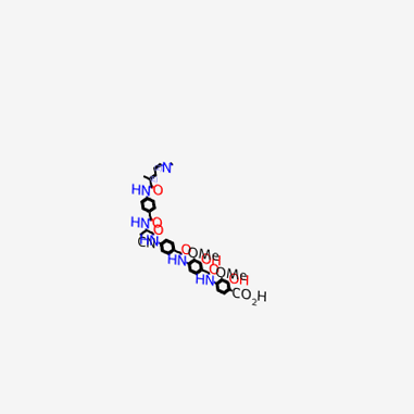 C=N/C=C\C=C(/C)C(=O)Nc1ccc(C(=O)NC(CC#N)C(=O)Nc2ccc(C(=O)Nc3ccc(C(=O)Nc4ccc(C(=O)O)c(O)c4OC)c(O)c3OC)cc2)cc1